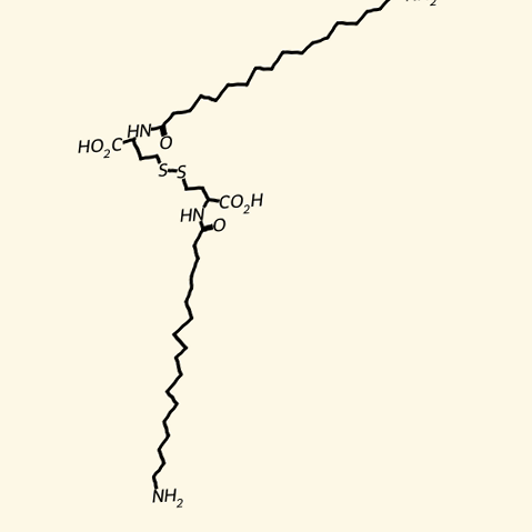 NCCCCCCCCCCCCCCCCCC(=O)NC(CCSSCCC(NC(=O)CCCCCCCCCCCCCCCCCN)C(=O)O)C(=O)O